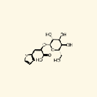 O=C(O)/C(=C\c1cccs1)O[C@H]1O[C@@H](CO)C(O)[C@H](O)[C@H]1O